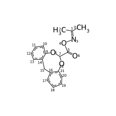 CC(C)=NOC(=O)C1Oc2ccccc2Cc2ccccc2O1